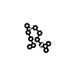 c1cc(-c2cccc(-c3cnc4c5ccccc5c5ccccc5c4n3)c2)cc(-c2cccc(-n3c4ccccc4c4ccc(-c5ccc(-c6cccc7ccccc67)cc5)cc43)c2)c1